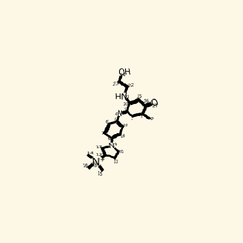 CC1=CC(=Nc2ccc(N3CCC([N+](C)(C)C)C3)cc2)C(NCCO)=CC1=O